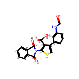 O=CNc1cccc(-c2csc(N3C(=O)c4ccccc4C3=O)c2C(=O)O)c1